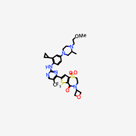 COCCN1CCN(c2ccc(Nc3ncc(C(F)(F)F)c(-c4cc5c(s4)C(=O)N(C4COC4)CCS5(=O)=O)n3)c(C3CC3)c2)CC1C